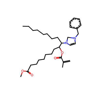 C=C(C)C(=O)OC(CCCCCCCC(=O)OC)C(CCCCCCCC)N1C=CN(Cc2ccccc2)C1